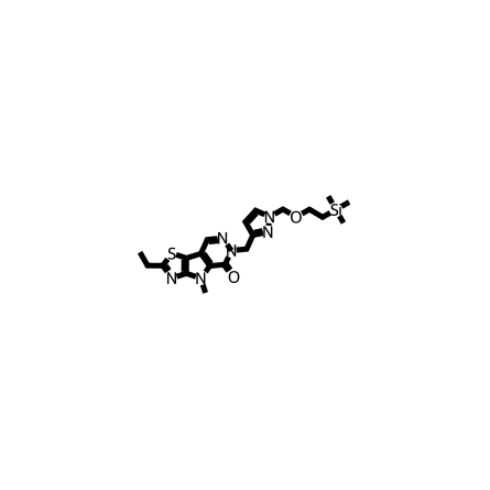 CCc1nc2c(s1)c1cnn(Cc3ccn(COCC[Si](C)(C)C)n3)c(=O)c1n2C